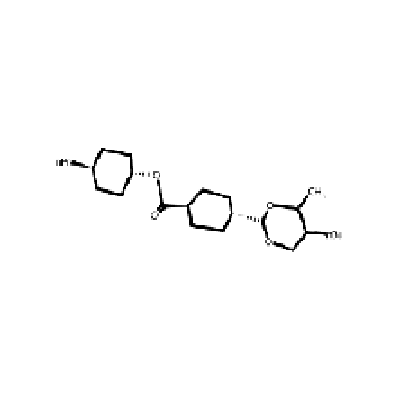 CCCCC1COC([C@H]2CC[C@H](C(=O)O[C@H]3CC[C@H](CCC)CC3)CC2)OC1C